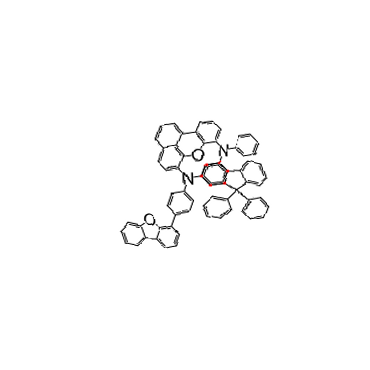 c1ccc(N(c2ccccc2)c2cccc3c2Oc2c(N(c4ccc(-c5cccc6c5oc5ccccc56)cc4)c4ccc5c(c4)C(c4ccccc4)(c4ccccc4)c4ccccc4-5)ccc4cccc-3c24)cc1